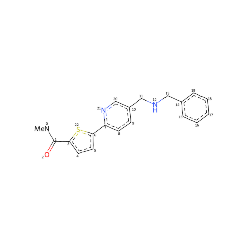 CNC(=O)c1ccc(-c2ccc(CNCc3ccccc3)cn2)s1